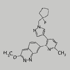 COc1cc2ccc(-c3nc(C)ccc3-c3cnn(CC4(F)CCCC4)c3)cc2nn1